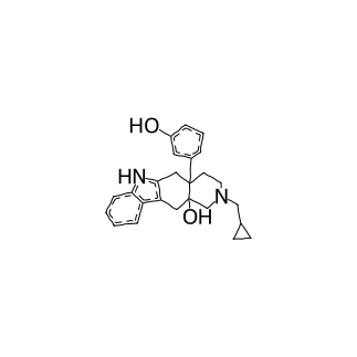 Oc1cccc(C23CCN(CC4CC4)CC2(O)Cc2c([nH]c4ccccc24)C3)c1